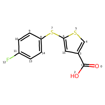 O=C(O)c1csc(Sc2ccc(F)cc2)c1